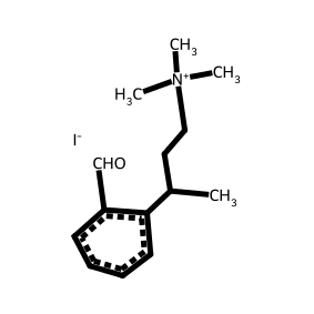 CC(CC[N+](C)(C)C)c1ccccc1C=O.[I-]